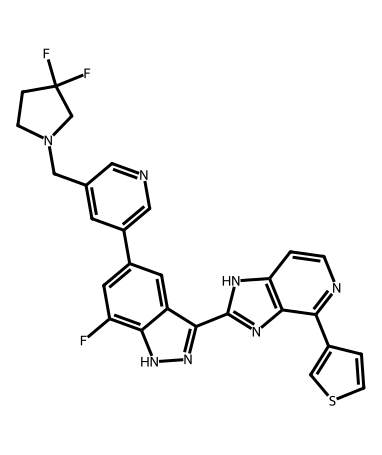 Fc1cc(-c2cncc(CN3CCC(F)(F)C3)c2)cc2c(-c3nc4c(-c5ccsc5)nccc4[nH]3)n[nH]c12